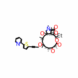 CC[C@H]1OC(=O)[C@H](C)C(=O)[C@H](C)[C][C@](C)(OCC#Cc2ccc(-c3ccccn3)s2)C[C@@H](C)C(=O)[C@]2(C)CN(C)[C@H]3C(=O)O[C@@]1(C)[C@H]32